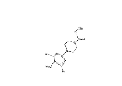 COc1c(Br)cc(N2CCN(C(=O)OC(C)(C)C)CC2)cc1Br